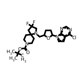 CC(C)(C)OC(=O)N1CCC2(CC1)CC(F)(F)CN2CC1CCC(n2ccc3c(Cl)ncnc32)O1